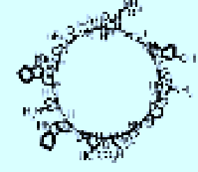 CCCC[C@H]1C(=O)N(C)[C@@H](CCCC)C(=O)N[C@@H](CN)C(=O)N[C@H](C(=O)NCC(N)=O)CSCC(=O)N[C@@H](Cc2ccc(O)cc2)C(=O)N(C)[C@@H](C)C(=O)N[C@@H](CC(N)=O)C(=O)N2CCC[C@H]2C(=O)N[C@@H](CN)C(=O)N[C@@H](CCC(=O)O)C(=O)N2C[C@H](O)C[C@H]2C(=O)N[C@@H](Cc2c[nH]c3ccccc23)C(=O)N[C@@H](CCN)C(=O)N[C@@H](Cc2c[nH]c3ccccc23)C(=O)N1C